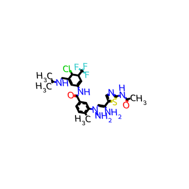 CC(=O)Nc1ncc(/C(N)=C/N(N)c2cc(C(=O)NC3=CC(C(F)(F)F)C(Cl)C(CNC(C)C)=C3)ccc2C)s1